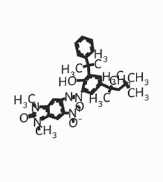 Cn1c(=O)n(C)c2cc([N+](=O)[O-])c(N=Nc3cc(C(C)(C)CC(C)(C)C)cc(C(C)(C)c4ccccc4)c3O)cc21